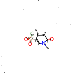 Cc1cc(=O)n(C)cc1S(=O)(=O)Cl